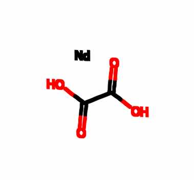 O=C(O)C(=O)O.[Nd]